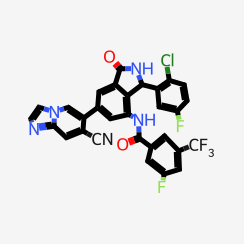 N#Cc1cc2nccn2cc1-c1cc(NC(=O)c2cc(F)cc(C(F)(F)F)c2)c2c(c1)C(=O)NC2c1cc(F)ccc1Cl